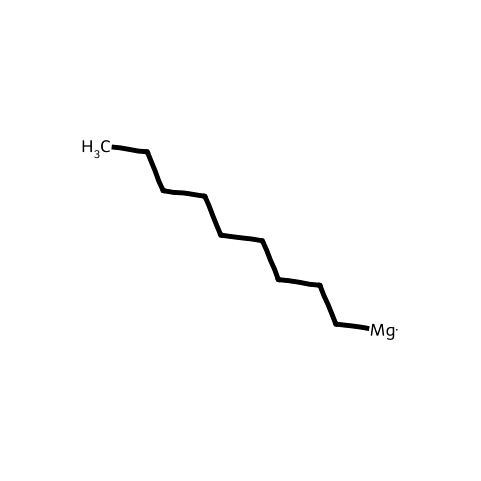 CCCCCCCC[CH2][Mg]